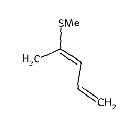 C=CC=C(C)SC